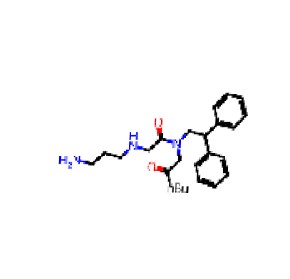 CCCCC(=O)CN(CC(c1ccccc1)c1ccccc1)C(=O)CNCCCN